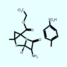 CC12CC1(C(=O)OCC(Cl)(Cl)Cl)N1C(=O)C(N)[C@@H]1S2.Cc1ccc(S(=O)(=O)O)cc1